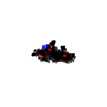 CCC1O[C@@H](OC2[C@H](O[C@H]3CCC4(C)C5CC=C6C7CC(C)(C)CC[C@]7(NC(=O)O[C@@H]7OC(COCc8ccccc8)[C@H](N)C(C)C7O[C@@H]7OC(C)[C@H](O[C@@H]8OC[C@@H](C)C(OCc9ccccc9)C8C)C8OC(C)(C)OC87)C(OC)C[C@@]6(C)[C@@]5(C)CC[C@H]4[C@@]3(C)C=O)OC(C(C)=O)[C@@H](C)[C@@H]2O[C@@H]2OC[C@@H](C)[C@@H](C)C2C)C(O[Si](CC)(CC)CC)[C@@H](C)[C@@H]1C